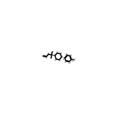 C=CCC(C)(C)[C@H]1CC[C@H](c2ccc(F)cc2)CC1